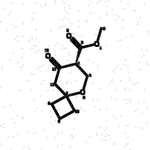 COC(=O)[C@@H]1COC2(CCC2)CC1=O